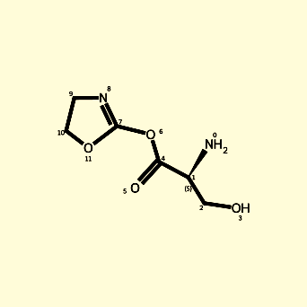 N[C@@H](CO)C(=O)OC1=NCCO1